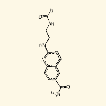 CCC(=O)NCCNc1ccc2cc(C(N)=O)ccc2n1